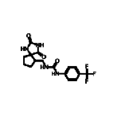 O=C(NCC1CCCC12NC(=O)NC2=O)Nc1ccc(C(F)(F)F)cc1